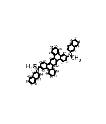 CN(c1ccc2ccccc2c1)c1ccc2c(c1)c1ccccc1c1cc3c4ccc(N(C)c5ccc6ccccc6c5)cc4c4ccccc4c3cc21